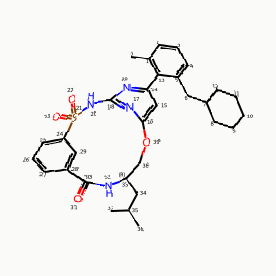 Cc1cccc(CC2CCCCC2)c1-c1cc2nc(n1)NS(=O)(=O)c1cccc(c1)C(=O)N[C@H](CC(C)C)CO2